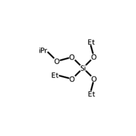 CCO[Si](OCC)(OCC)OOC(C)C